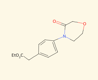 CCOC(=O)Cc1ccc(N2CCOCC2=O)cc1